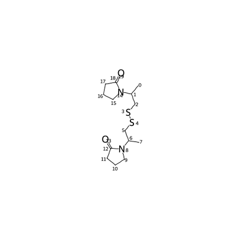 CC(CSSCC(C)N1CCCC1=O)N1CCCC1=O